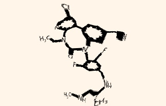 CCN1C(=O)N(c2c(F)cc(N[C@H](C)CNC)cc2F)c2cc(C#N)ccc2-c2cc(Cl)cnc21